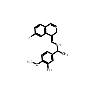 COc1ccc(C(C)NC=C2CN=Cc3ccc(Br)cc32)cc1O